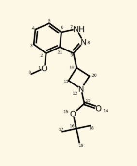 COc1cccc2[nH]nc(C3CN(C(=O)OC(C)(C)C)C3)c12